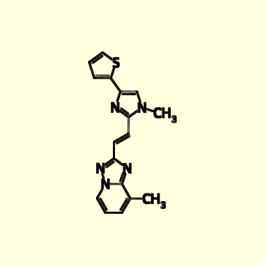 Cc1cccn2nc(C=Cc3nc(-c4cccs4)cn3C)nc12